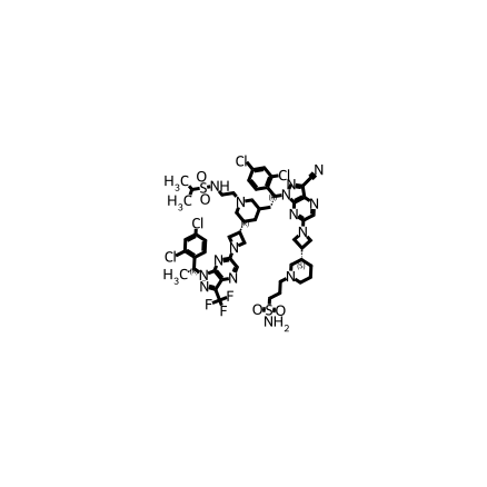 CC(C)S(=O)(=O)NCCN1CC(C[C@H](c2ccc(Cl)cc2Cl)n2nc(C#N)c3ncc(N4CC([C@@H]5CCCN(CCCS(N)(=O)=O)C5)C4)nc32)C[C@H](C2CN(c3cnc4c(C(F)(F)F)nn([C@H](C)c5ccc(Cl)cc5Cl)c4n3)C2)C1